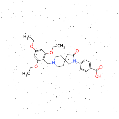 CCOc1cc(OCC)c(CN2CCC3(CC2)CC(=O)N(c2ccc(C(=O)O)cc2)C3)c(OCC)c1